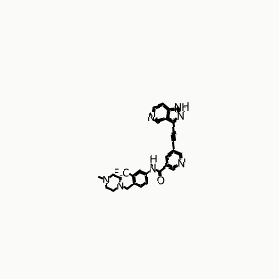 CN1CCN(Cc2ccc(NC(=O)c3cncc(C#Cc4n[nH]c5ccncc45)c3)cc2C(F)(F)F)CC1